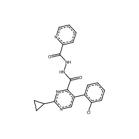 O=C(NNC(=O)c1nc(C2CC2)ncc1-c1ccccc1Cl)c1ccccn1